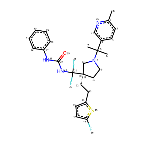 Cc1ccc(C(C)(C)N2CC[C@@](CCc3ccc(F)s3)(C(F)(F)NC(=O)Nc3ccccc3)C2)cn1